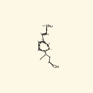 CN(CCO)c1ccc(/C=C/C(C)(C)C)cc1